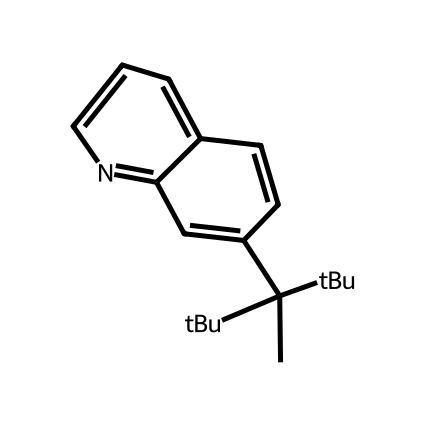 CC(C)(C)C(C)(c1ccc2cccnc2c1)C(C)(C)C